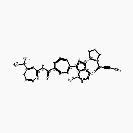 CC#CC(=O)N1CCC[C@H]1c1nc(C2=CC=C(C(=O)NC3=NC=CCC(C(C)C)=C3)C=C=C2)c2c(N)nccn12